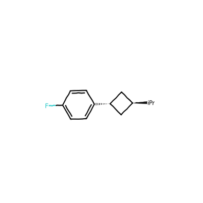 CC(C)[C@H]1C[C@H](c2ccc(F)cc2)C1